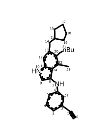 C#Cc1cccc(Nc2c[nH]c3cc(CC4CCCC4)c(CCCC)c(C)c23)c1